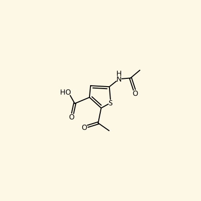 CC(=O)Nc1cc(C(=O)O)c(C(C)=O)s1